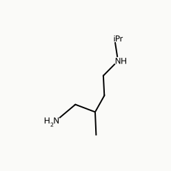 CC(CN)CCNC(C)C